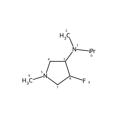 CC(C)N(C)C1CN(C)CC1F